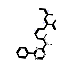 C=C(C)/C(=C\C(C)=C/C)C/C=C\C[C@@H](C)[C@H](C)c1ncnc(-c2ccccc2)n1